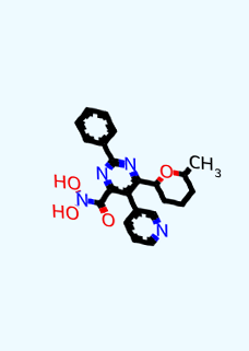 CC1CCCC(c2nc(-c3ccccc3)nc(C(=O)N(O)O)c2-c2cccnc2)O1